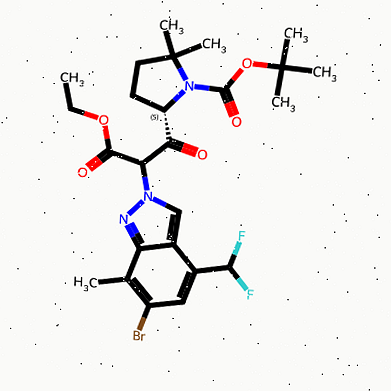 CCOC(=O)C(C(=O)[C@@H]1CCC(C)(C)N1C(=O)OC(C)(C)C)n1cc2c(C(F)F)cc(Br)c(C)c2n1